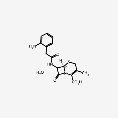 CC1=C(C(=O)O)N2C(=O)C(NC(=O)Cc3ccccc3N)[C@H]2SC1.O